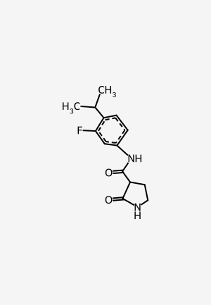 CC(C)c1ccc(NC(=O)C2CCNC2=O)cc1F